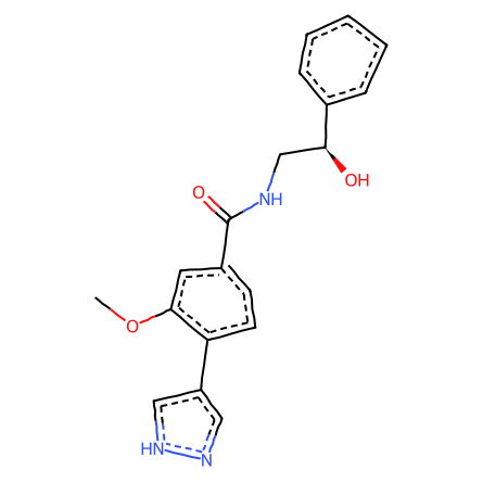 COc1cc(C(=O)NC[C@H](O)c2ccccc2)ccc1-c1cn[nH]c1